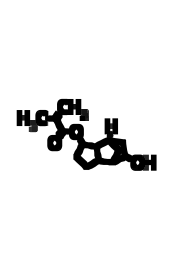 C=C(C)C(=O)OC1CCC2C3C[C@@H](CC3O)C12